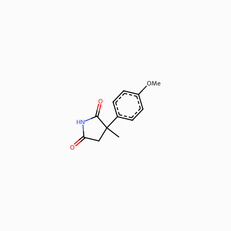 COc1ccc(C2(C)CC(=O)NC2=O)cc1